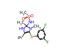 CC(C)C1=C(Sc2cc(F)cc(F)c2)N(C)C(C)(NS(C)(=O)=O)N1